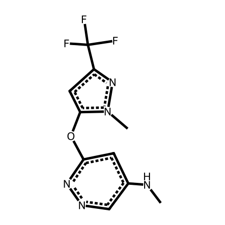 CNc1cnnc(Oc2cc(C(F)(F)F)nn2C)c1